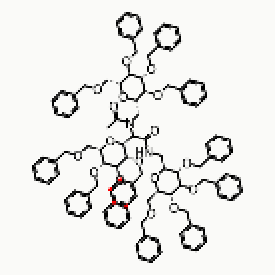 CC(=O)N(C[C@@H]1O[C@H](COCc2ccccc2)[C@@H](OCc2ccccc2)[C@H](OCc2ccccc2)[C@H]1OCc1ccccc1)C(C(=O)NC[C@@H]1O[C@H](COCc2ccccc2)[C@@H](OCc2ccccc2)[C@H](OCc2ccccc2)[C@H]1OCc1ccccc1)[C@@H]1O[C@H](COCc2ccccc2)[C@@H](OCc2ccccc2)[C@H](OCc2ccccc2)[C@H]1OCc1ccccc1